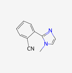 Cn1ccnc1-c1ccccc1C#N